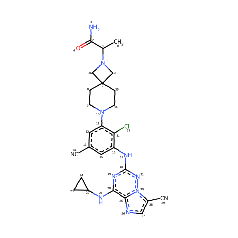 CC(C(N)=O)N1CC2(CCN(c3cc(C#N)cc(Nc4nc(NC5CC5)c5ncc(C#N)n5n4)c3Cl)CC2)C1